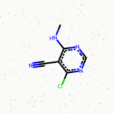 CNc1ncnc(Cl)c1C#N